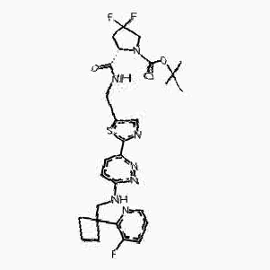 CC(C)(C)OC(=O)N1CC(F)(F)C[C@H]1C(=O)NCc1cnc(-c2ccc(NCC3(c4ncccc4F)CCC3)nn2)s1